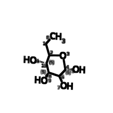 CCC1O[C@H](O)C(O)[C@@H](O)[C@@H]1O